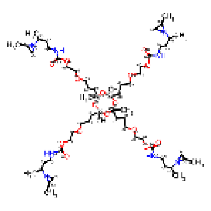 CC(CCNC(=O)OCCOCCC[Si]1(C)O[Si](C)(CCCOCCOC(=O)NCCC(C)N2CC2C)O[Si](C)(CCCOCCOC(=O)NCCC(C)N2CC2C)O[Si](C)(CCCOCCOC(=O)NCCC(C)N2CC2C)O1)N1CC1C